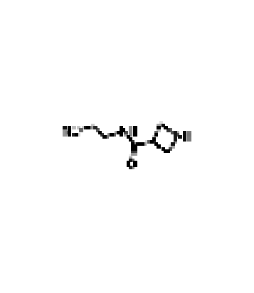 N#CCCNC(=O)C1CNC1